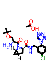 CC(=O)O.CC(C)(C)OC[C@@H](N)C(=O)N1[C@H](C(=O)NCc2cc(Cl)ccc2-n2cnnn2)C[C@@H]2C[C@@H]21